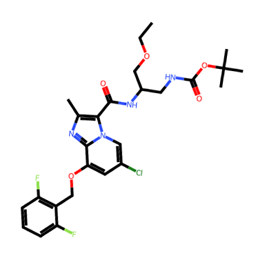 CCOCC(CNC(=O)OC(C)(C)C)NC(=O)c1c(C)nc2c(OCc3c(F)cccc3F)cc(Cl)cn12